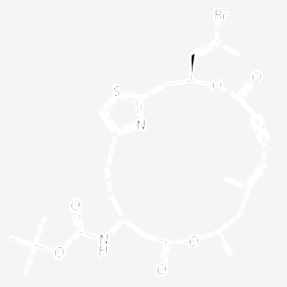 C/C(Br)=C\[C@@H]1Cc2nc(cs2)CC[C@@H](NC(=O)OC(C)(C)C)CC(=O)O[C@@H](C)C/C(C)=C/C#CC(=O)O1